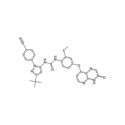 CSc1cc(Oc2ccnc3[nH]c(=O)cnc23)ccc1NC(=O)Nc1cc(C(C)(C)C)nn1-c1ccc(C#N)cc1